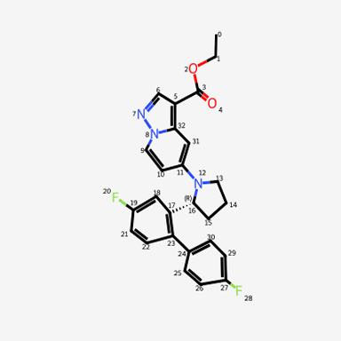 CCOC(=O)c1cnn2ccc(N3CCC[C@@H]3c3cc(F)ccc3-c3ccc(F)cc3)cc12